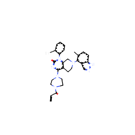 C=CC(=O)N1CCN(c2nc(=O)n(-c3ccccc3C(C)C)c3c2CCN(c2c(C)ccc4[nH]ncc24)C3)CC1